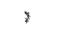 Cc1cc(NC(=O)c2cc(S(=O)(=O)NC3(C)COC3)cn2C)cnc1F